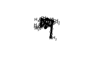 CC[C@H](C)C([C@@H](CC(=O)N1CCC[C@H]1[C@H](OC)[C@@H](C)C(=O)N[C@@H](Cc1ccccc1)c1nccs1)OC)N(C)C(=O)CNC(=O)C(C(C)C)N(C)C(=O)OCc1ccc(NC(=O)CNC(=O)C(NC(=O)CCOCCOCCOCCOCCON)C(C)C)cc1